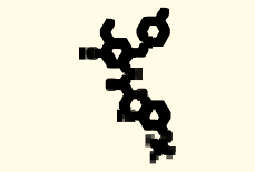 CCc1cc(CN2CCC(C)CC2)c(NC(=O)C2CNc3cc(OC(F)(F)F)ccc3O2)cc1O